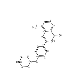 Cc1cccc2c(=O)[nH]c(-c3ccc(CN4CCNCC4)nc3)cc12